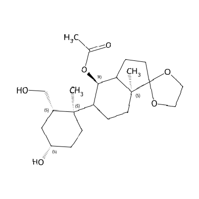 CC(=O)O[C@H]1C2CCC3(OCCO3)[C@@]2(C)CCC1[C@@]1(C)CC[C@H](O)C[C@@H]1CO